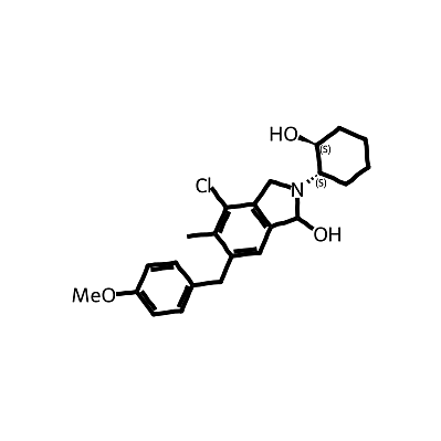 COc1ccc(Cc2cc3c(c(Cl)c2C)CN([C@H]2CCCC[C@@H]2O)C3O)cc1